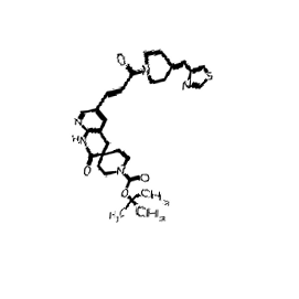 CC(C)(C)OC(=O)N1CCC2(CC1)Cc1cc(C=CC(=O)N3CCC(=Cc4cscn4)CC3)cnc1NC2=O